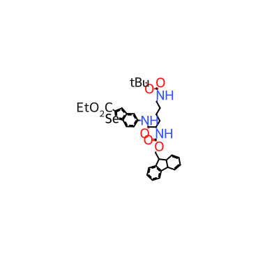 CCOC(=O)c1cc2cc(NC(=O)C(CCCCNC(=O)OC(C)(C)C)NC(=O)OCC3c4ccccc4C4C=CC=CC43)ccc2[se]1